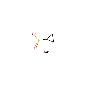 O=S([O-])C1CC1.[Na+]